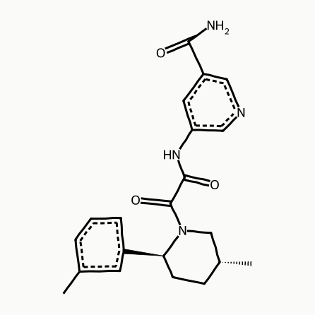 Cc1cccc([C@@H]2CC[C@@H](C)CN2C(=O)C(=O)Nc2cncc(C(N)=O)c2)c1